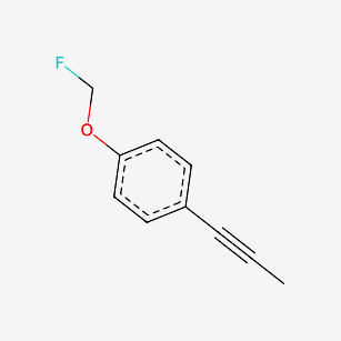 CC#Cc1ccc(OCF)cc1